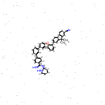 CC1(C)c2cc(C#N)ccc2-c2ccc(-c3cccc4c3oc3ccc(-c5cccc(-c6ccc(C(=N)/N=c7/cccc[nH]7)cc6)c5)cc34)cc21